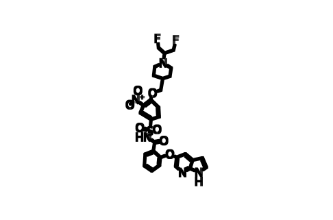 O=C(NS(=O)(=O)c1ccc(OCC2CCN(C(CF)CF)CC2)c([N+](=O)[O-])c1)c1ccccc1Oc1cnc2[nH]ccc2c1